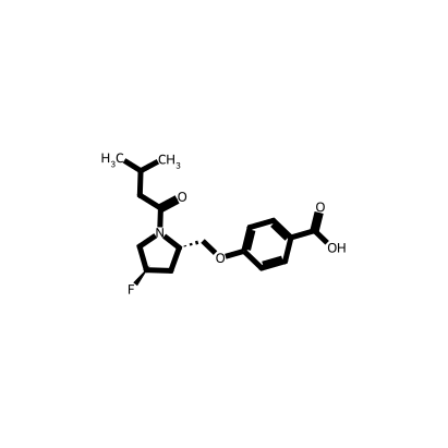 CC(C)CC(=O)N1C[C@H](F)C[C@H]1COc1ccc(C(=O)O)cc1